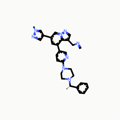 C=NCc1cnn2cc(-c3cnn(C)c3)cc(-c3ccc(N4CCN([C@@H](C)c5ccccc5)CC4)nc3)c12